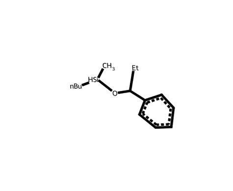 CCCC[SiH](C)OC(CC)c1ccccc1